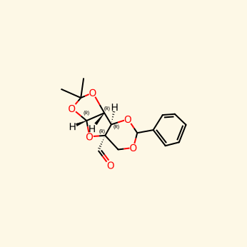 CC1(C)O[C@H]2O[C@]3(C=O)COC(c4ccccc4)O[C@@H]3[C@H]2O1